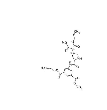 C=CCOC(=O)c1cc(NC(=O)C2C[C@@H]([C@@H](C(=O)OCC=C)C(O)=S)CN2)cc(C(=O)OC)c1